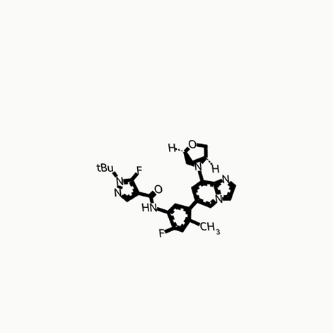 Cc1cc(F)c(NC(=O)c2cnn(C(C)(C)C)c2F)cc1-c1cc(N2C[C@@H]3C[C@H]2CO3)c2nccn2c1